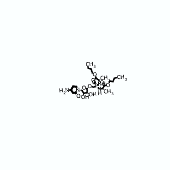 CCCCOC(=O)[C@H](C)NP(=O)(CO[C@H]1O[C@@H](n2ccc(N)cc2=O)[C@H](O)[C@@H]1O)N[C@@H](C)C(=O)OCCCC